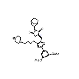 COc1cc(OC)cc(-c2cc(CCCCN3CCNCC3)c(/C=C3\SC(=S)N(C4CC5CCC4C5)C3=O)o2)c1